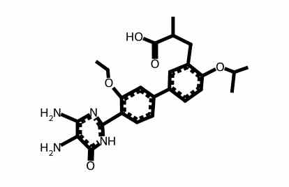 CCOc1cc(-c2ccc(OC(C)C)c(CC(C)C(=O)O)c2)ccc1-c1nc(N)c(N)c(=O)[nH]1